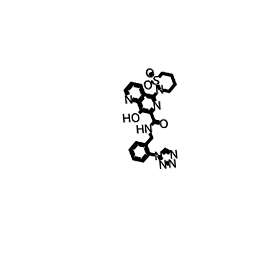 O=C(NCc1ccccc1-n1cnnn1)c1nc(N2CCCCS2(=O)=O)c2cccnc2c1O